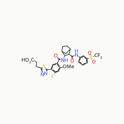 COc1cc(F)c(-c2nnc(CCC(=O)O)s2)cc1C(=O)NC1C2CCC(C2)C1C(=O)Nc1cccc(S(=O)(=O)C(F)(F)F)c1